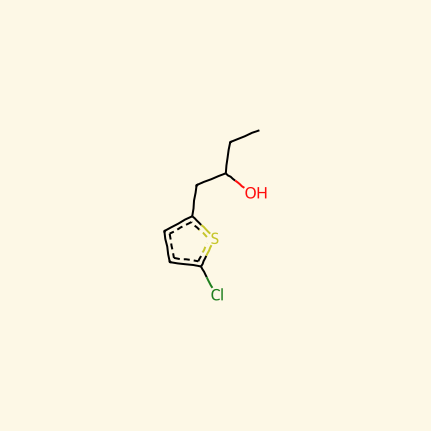 CCC(O)Cc1ccc(Cl)s1